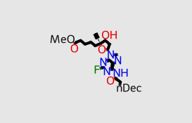 C#C[C@@]1(CCCCC(=O)OC)O[C@@H](n2cnc3c(NC(=O)CCCCCCCCCCC)nc(F)nc32)C[C@@H]1O